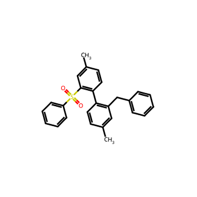 Cc1ccc(-c2ccc(C)cc2S(=O)(=O)c2ccccc2)c(Cc2ccccc2)c1